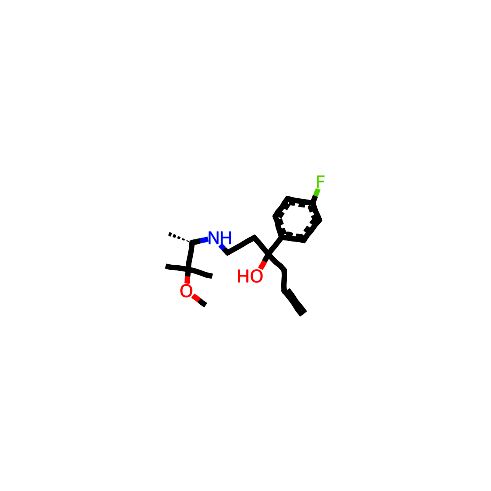 C=CCC(O)(CCN[C@@H](C)C(C)(C)OC)c1ccc(F)cc1